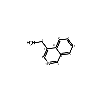 NCc1cncc2ccccc12